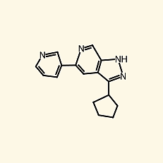 c1cncc(-c2cc3c(C4CCCC4)n[nH]c3cn2)c1